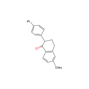 COc1ccc2c(c1)CCC(c1ccc(C(C)C)cc1)C2=O